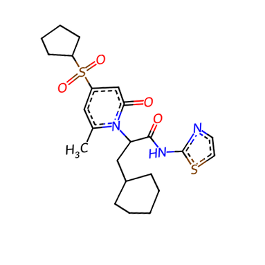 Cc1cc(S(=O)(=O)C2CCCC2)cc(=O)n1C(CC1CCCCC1)C(=O)Nc1nccs1